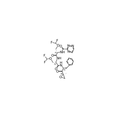 C[C@]1(C(=O)[C@H](Cc2ccccc2)NC(=O)[C@H](COC(F)F)NC(=O)[C@H](COC(F)F)NC(=O)c2nccnn2)CO1